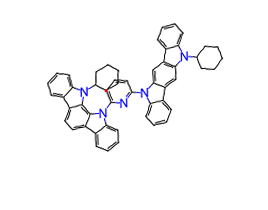 c1cc(-n2c3ccccc3c3cc4c(cc32)c2ccccc2n4C2CCCCC2)nc(-n2c3ccccc3c3ccc4c5ccccc5n(C5CCCCC5)c4c32)c1